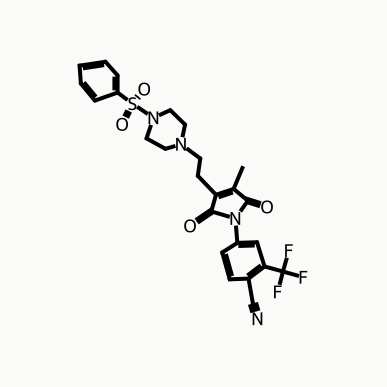 CC1=C(CCN2CCN(S(=O)(=O)c3ccccc3)CC2)C(=O)N(c2ccc(C#N)c(C(F)(F)F)c2)C1=O